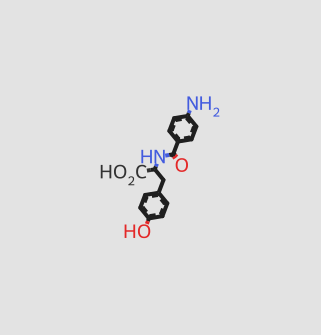 Nc1ccc(C(=O)NC(Cc2ccc(O)cc2)C(=O)O)cc1